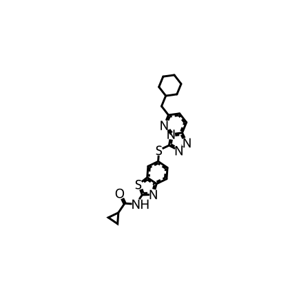 O=C(Nc1nc2ccc(Sc3nnc4ccc(CC5CCCCC5)nn34)cc2s1)C1CC1